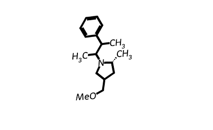 COCC1C[C@@H](C)N(C(C)C(C)c2ccccc2)C1